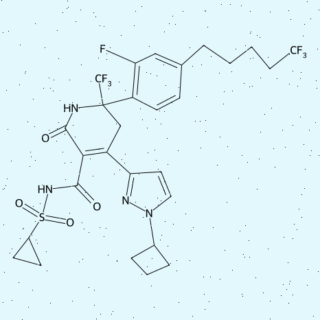 O=C1NC(c2ccc(CCCCC(F)(F)F)cc2F)(C(F)(F)F)CC(c2ccn(C3CCC3)n2)=C1C(=O)NS(=O)(=O)C1CC1